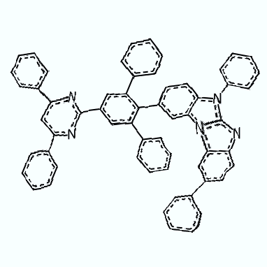 c1ccc(-c2ccc3nc4n(-c5ccccc5)c5ccc(-c6c(-c7ccccc7)cc(-c7nc(-c8ccccc8)cc(-c8ccccc8)n7)cc6-c6ccccc6)cc5n4c3c2)cc1